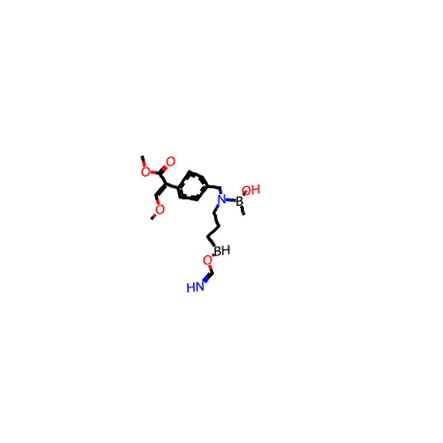 CO/C=C(/C(=O)OC)c1ccc(CN(CCCBOC=N)B(C)O)cc1